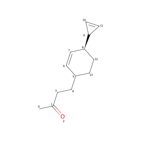 CC(=O)CCC1C=C[C@@H](C2C=C2)CC1